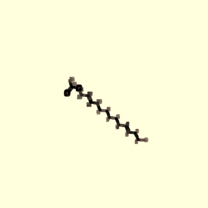 CCCC=CCCCCCCC=CCOC(C)=O